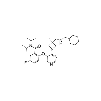 CC(C)N(C(=O)c1cc(F)ccc1Oc1cncnc1N1CC(C)(CNCC2CCCCC2)C1)C(C)C